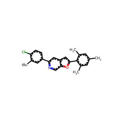 Cc1cc(C)c(-c2cc3cc(-c4ccc(Cl)c(C(C)(C)C)c4)ncc3o2)c(C)c1